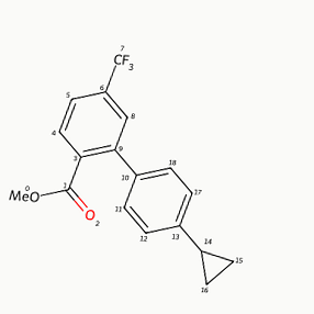 COC(=O)c1ccc(C(F)(F)F)cc1-c1ccc(C2CC2)cc1